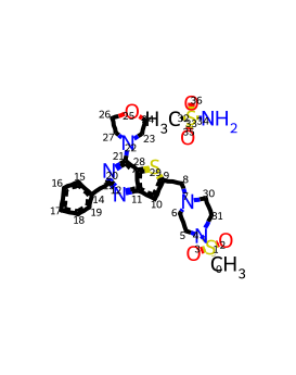 CS(=O)(=O)N1CCN(Cc2cc3nc(-c4ccccc4)nc(N4CCOCC4)c3s2)CC1.CS(N)(=O)=O